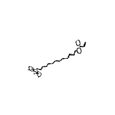 C=CC(=O)OCCCCCCCCCCCCC[Si](C)(OC)OC